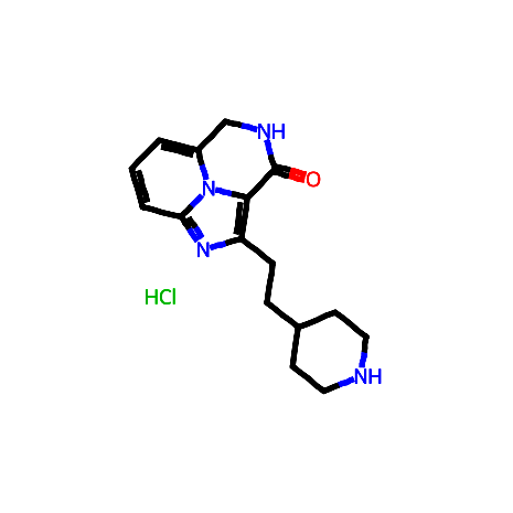 Cl.O=C1NCc2cccc3nc(CCC4CCNCC4)c1n23